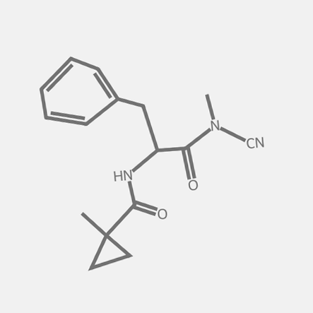 CN(C#N)C(=O)C(Cc1ccccc1)NC(=O)C1(C)CC1